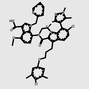 COc1ccc(N2C[C@@H](C)n3c(c(CCCOc4cc(C)c(Cl)c(C)c4)c4ccc(Cl)c(-c5c(C)nn(C)c5C)c43)C2=O)c2c1c(C(=O)O)cn2Cc1ccccn1